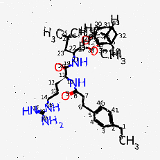 CCc1ccc(CCC(=O)N[C@@H](CCCNC(=N)N)C(=O)N[C@@H](CC(C)C)B2O[C@@H]3C[C@@H]4C[C@@H](C4(C)C)[C@]3(C)O2)cc1